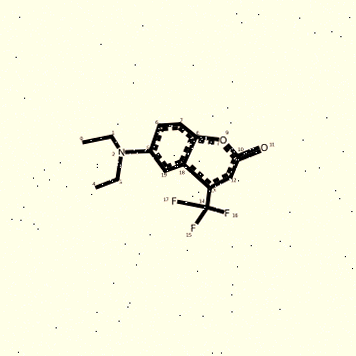 CCN(CC)c1ccc2oc(=O)cc(C(F)(F)F)c2c1